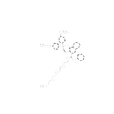 COc1ccc(C2(c3ccc(OC)cc3)C=Cc3c(C(=O)OCCOCCOCCOCCO)c(-c4ccccc4)c4ccccc4c3O2)cc1